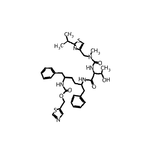 CC(C)c1nc(CN(C)C(=O)NC(C(=O)NC(CCC(Cc2ccccc2)NC(=O)OCc2cncs2)Cc2ccccc2)C(C)O)cs1